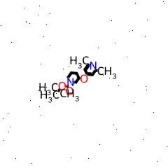 Cc1cc(O[C@@H]2CCCN(C(=O)OC(C)(C)C)C2)cc(C)n1